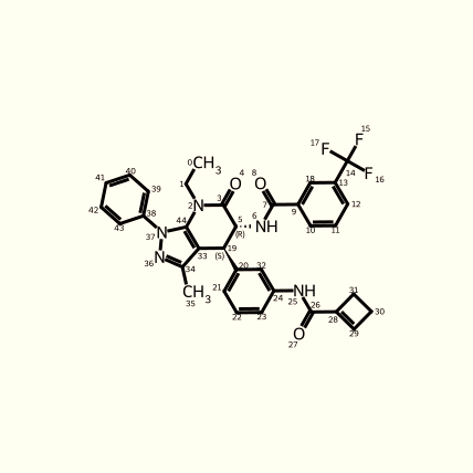 CCN1C(=O)[C@H](NC(=O)c2cccc(C(F)(F)F)c2)[C@@H](c2cccc(NC(=O)C3=CCC3)c2)c2c(C)nn(-c3ccccc3)c21